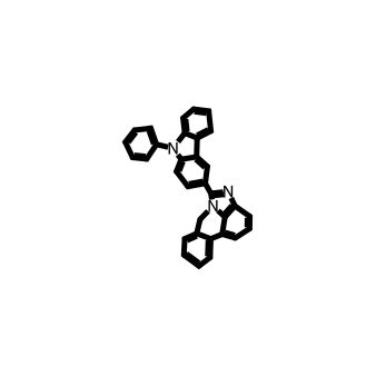 c1ccc(-n2c3ccccc3c3cc(-c4nc5cccc6c5n4Cc4ccccc4-6)ccc32)cc1